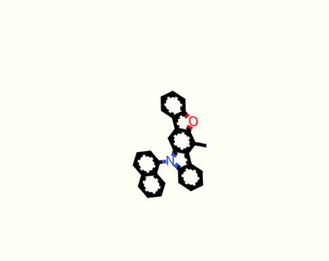 Cc1c2oc3ccccc3c2cc2c1c1ccccc1n2-c1cccc2ccccc12